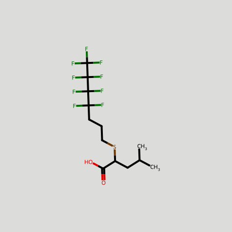 CC(C)CC(SCCCC(F)(F)C(F)(F)C(F)(F)C(F)(F)F)C(=O)O